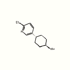 CCc1ccc([C@H]2CC[C@H](C(C)(C)C)CC2)cn1